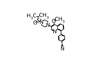 COc1c(N2CCN([S+]([O-])C(C)C)CC2)cnc2c(-c3ccc(C#N)cc3)cccc12